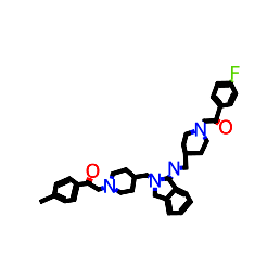 Cc1ccc(C(=O)CN2CCC(CN3Cc4ccccc4/C3=N\CC3CCN(CC(=O)c4ccc(F)cc4)CC3)CC2)cc1